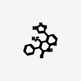 Cc1c(-c2ccccc2)c(=O)[nH]c2nccc(-c3c[nH]nn3)c12